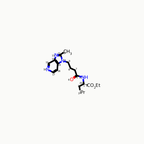 CCOC(=O)[C@H](CC(C)C)NC(=O)CCCn1c(C)nc2cnccc21